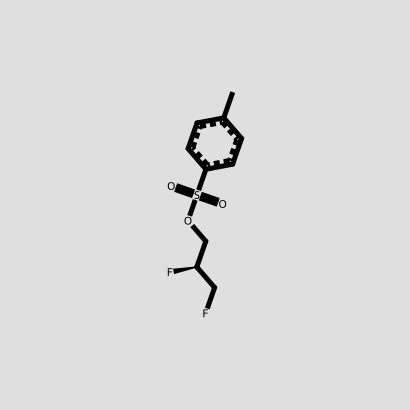 Cc1ccc(S(=O)(=O)OC[C@H](F)CF)cc1